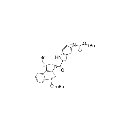 CCCCOc1cc2c(c3ccccc13)[C@H](CBr)CN2C(=O)c1cc2cc(NC(=O)OC(C)(C)C)ccc2[nH]1